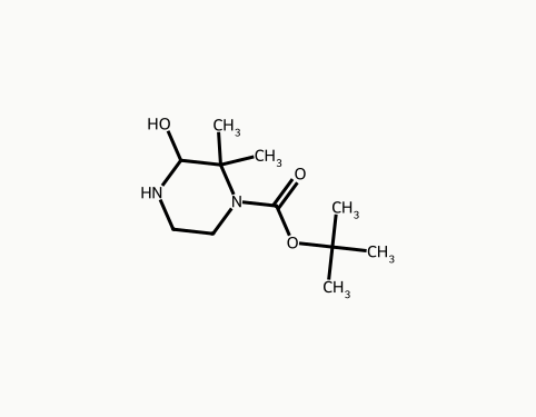 CC(C)(C)OC(=O)N1CCNC(O)C1(C)C